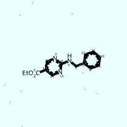 CCOC(=O)c1cnc(NCc2ccccc2)nc1